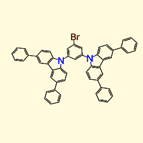 Brc1cc(-n2c3ccc(-c4ccccc4)cc3c3cc(-c4ccccc4)ccc32)cc(-n2c3ccc(-c4ccccc4)cc3c3cc(-c4ccccc4)ccc32)c1